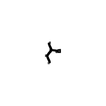 C[CH]C(C)Cl